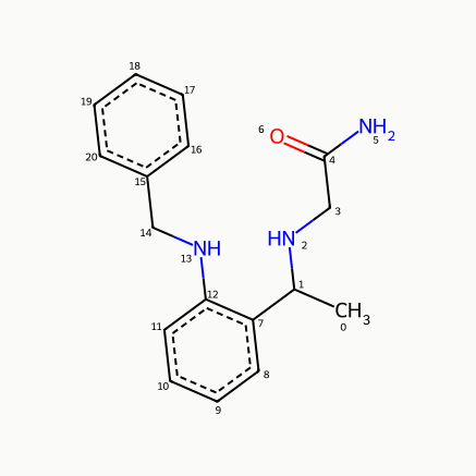 CC(NCC(N)=O)c1ccccc1NCc1ccccc1